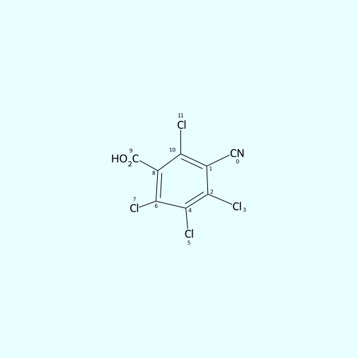 N#Cc1c(Cl)c(Cl)c(Cl)c(C(=O)O)c1Cl